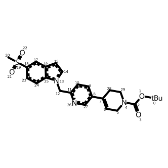 CC(C)(C)OC(=O)N1CC=C(c2ccc(Cn3ccc4cc(S(C)(=O)=O)ccc43)nc2)CC1